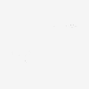 COC/C=C/[C@H]1CC[C@H](C2CCC(CCc3ccccc3C(=O)C(F)(F)F)CC2)CC1